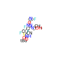 CC(C)(C)OC(=O)Nc1sc2c(F)ccc(-c3c(F)cc4c(N5CCC[C@@](C)(O)C5)nc(OC[C@@]56CCCN5C[C@H](F)C6)nc4c3F)c2c1C#N